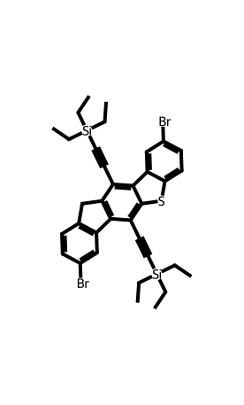 CC[Si](C#Cc1c2c(c(C#C[Si](CC)(CC)CC)c3c1sc1ccc(Br)cc13)Cc1ccc(Br)cc1-2)(CC)CC